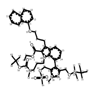 CCOC(=O)c1c(CCCOc2cccc3ccccc23)c2cccc(-c3c(CO[Si](C)(C)C(C)(C)C)nn(C)c3COS(C)(=O)=O)c2n1CCCN(C)C(=O)OC(C)(C)C